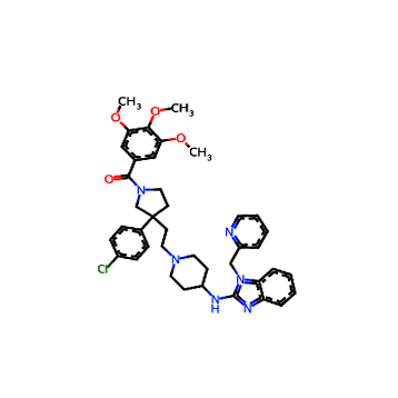 COc1cc(C(=O)N2CCC(CCN3CCC(Nc4nc5ccccc5n4Cc4ccccn4)CC3)(c3ccc(Cl)cc3)C2)cc(OC)c1OC